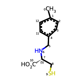 Cc1ccc(CN[C@H](CS)C(=O)O)cc1